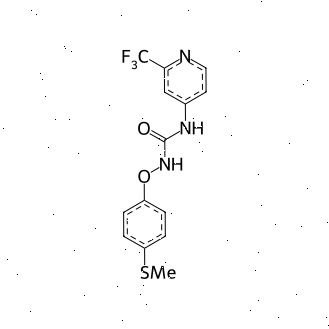 CSc1ccc(ONC(=O)Nc2ccnc(C(F)(F)F)c2)cc1